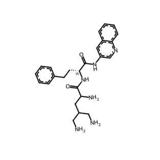 NCC(CN)CC(N)C(=O)N[C@H](CCc1ccccc1)C(=O)Nc1cnc2ccccc2c1